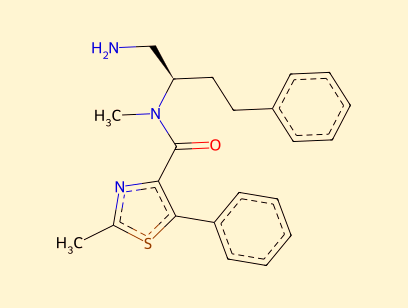 Cc1nc(C(=O)N(C)[C@@H](CN)CCc2ccccc2)c(-c2ccccc2)s1